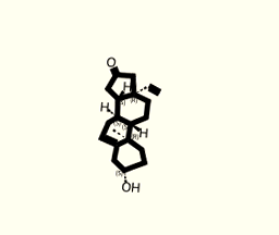 C=C[C@]12CC[C@H]3[C@@H](CC=C4C[C@@H](O)CC[C@@]43C)[C@@H]1CC(=O)C2